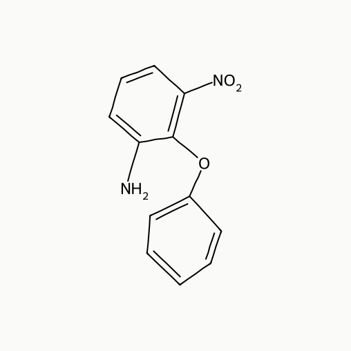 Nc1cccc([N+](=O)[O-])c1Oc1ccccc1